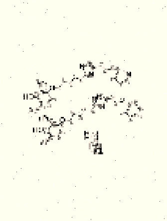 CCCc1c(OCCCCCc2nnn(CCCc3cccnc3)n2)ccc(C(C)=O)c1O.CCCc1c(OCCCCCc2nnn(CCCc3cccnc3)n2)ccc(C(C)=O)c1O.Cl.Cl.Cl.O.O